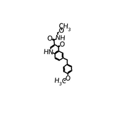 COCNC(=O)c1c[nH]c2ccc(Cc3ccc(OC)cc3)cc2c1=O